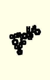 Cn1cc(C(=O)Nc2cc(Cl)c(CC(=O)COC(O[C@H]3CC[C@H](C(=O)O)CC3)N3CCCC3)cc2Cl)c2ccccc21